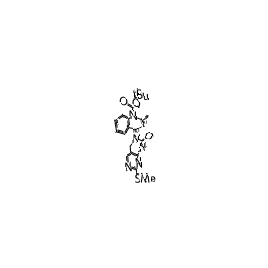 CSc1ncc2c(n1)N(C)C(=O)N([C@H]1C[C@H](C)N(C(=O)OC(C)(C)C)c3ccccc31)C2